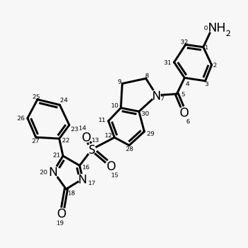 Nc1ccc(C(=O)N2CCc3cc(S(=O)(=O)C4=NC(=O)N=C4c4ccccc4)ccc32)cc1